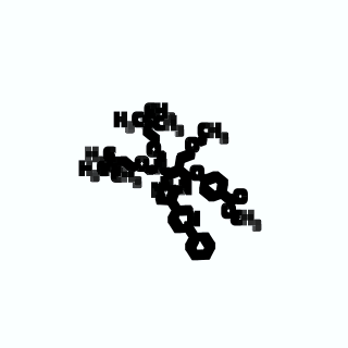 CCOC=Cc1c(Oc2ccc(C(=O)OC)cc2)nc2c(-c3ccc(-c4ccccc4)nc3)cnn2c1N(COCC[Si](C)(C)C)COCC[Si](C)(C)C